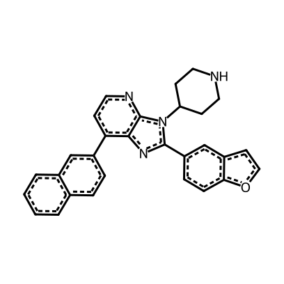 c1ccc2cc(-c3ccnc4c3nc(-c3ccc5occc5c3)n4C3CCNCC3)ccc2c1